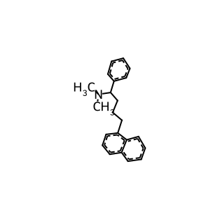 CN(C)C(CCCc1cccc2ccccc12)c1ccccc1